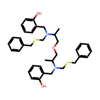 CC(COCC(C)N(CSCc1ccccc1)Cc1ccccc1O)N(CSCc1ccccc1)Cc1ccccc1O